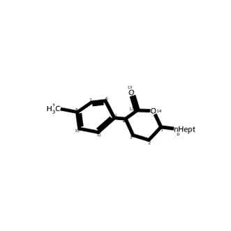 CCCCCCCC1CCC(c2ccc(C)cc2)C(=O)O1